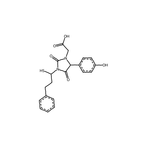 O=C(O)CN1C(=O)N(C(S)CCc2ccccc2)C(=O)C1c1ccc(O)cc1